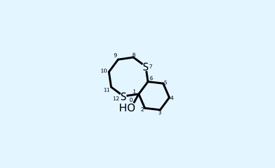 OC12CCCCC1SCCCCS2